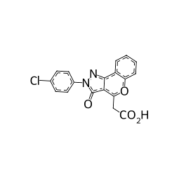 O=C(O)Cc1oc2ccccc2c2nn(-c3ccc(Cl)cc3)c(=O)c1-2